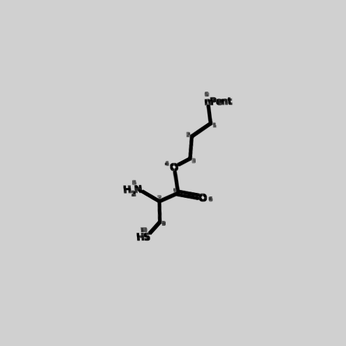 CCCCCCCCOC(=O)C(N)CS